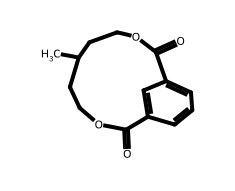 CC1CCOC(=O)c2cccc(c2)C(=O)OCC1